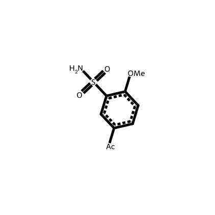 COc1ccc(C(C)=O)cc1S(N)(=O)=O